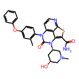 Cc1cc(Oc2ccccc2)ccc1N1C(=O)N([C@@H]2C[C@H](O)CN(C)C2)c2c(C(N)=O)sc3nccc1c23